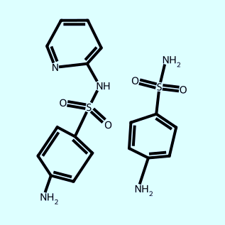 Nc1ccc(S(=O)(=O)Nc2ccccn2)cc1.Nc1ccc(S(N)(=O)=O)cc1